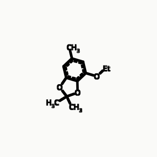 CCOc1cc(C)cc2c1OC(C)(C)O2